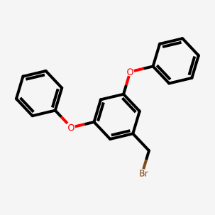 BrCc1cc(Oc2ccccc2)cc(Oc2ccccc2)c1